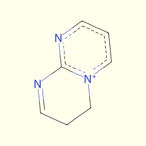 C1=Nc2nccc[n+]2CC1